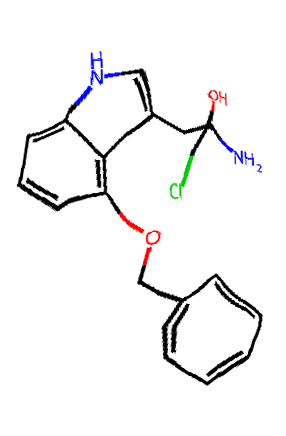 NC(O)(Cl)c1c[nH]c2cccc(OCc3ccccc3)c12